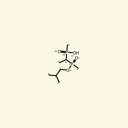 CC(C)COP(C)(=O)C(C)P(C)(=O)O